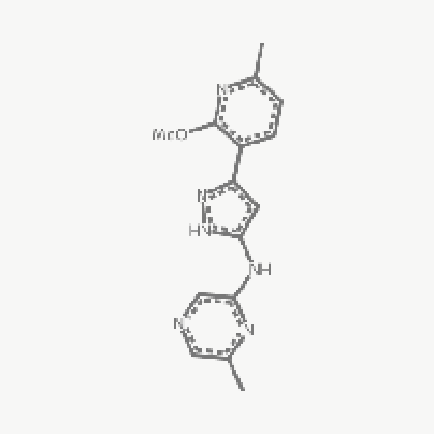 COc1nc(C)ccc1-c1cc(Nc2cncc(C)n2)[nH]n1